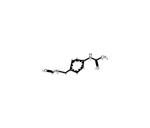 CC(=O)Nc1ccc(CNC=O)cc1